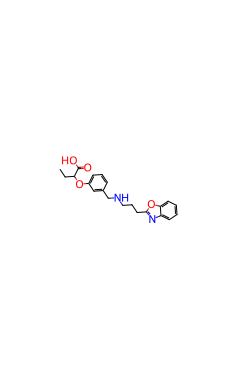 CCC(Oc1cccc(CNCCCc2nc3ccccc3o2)c1)C(=O)O